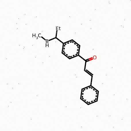 CBC(CC)c1ccc(C(=O)C=Cc2ccccc2)cc1